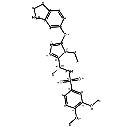 CCn1c(Oc2ccc3c(c2)NCC3)nnc1[C@@H](C)NS(=O)(=O)c1ccc(OC)c(OC)c1